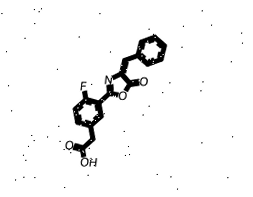 O=C(O)Cc1ccc(F)c(C2=NC(=Cc3ccccc3)C(=O)O2)c1